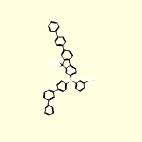 Cc1cccc(N(c2ccc(-c3cccc(-c4ccccc4)c3)cc2)c2ccc3c(c2)C(C)(C)c2cc(-c4ccc(-c5ccccc5)cc4)ccc2-3)c1